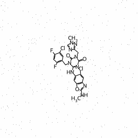 CNc1nc2cc(Cl)c(Nc3nc(=O)n(Cc4ncn(C)n4)c(=O)n3Cc3cc(Cl)c(F)cc3F)cc2o1